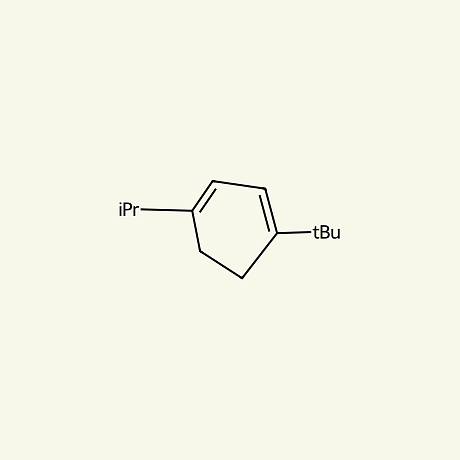 CC(C)C1=CC=C(C(C)(C)C)CC1